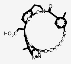 Cc1cc2ccc1C(=O)N1CCc3ccc(cc3C1)C(CC(=O)O)c1cnc3c(nnn3CCCCCC2)c1C